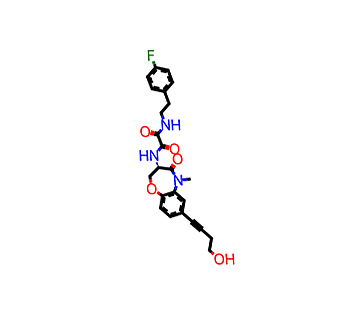 CN1C(=O)[C@@H](NC(=O)C(=O)NCCc2ccc(F)cc2)COc2ccc(C#CCCO)cc21